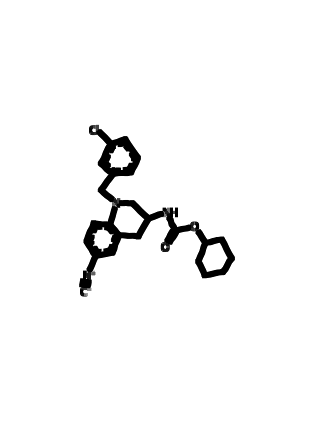 [C-]#[N+]c1ccc2c(c1)CC(NC(=O)OC1CCCCC1)CN2Cc1cccc(Cl)c1